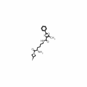 Cc1oc(-c2ccccc2)nc1C(=O)NCCCC[C@H](N)C(=O)N1CC(F)C1